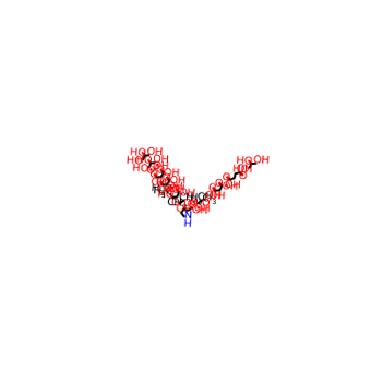 CC(=O)C(=O)O.CC(=O)C(=O)O.CC(O)CC(=O)O.CO.CO.CO.O=C(O)C1CCCN1.O=C(O)CC(=O)O.O=C(O)CC(=O)O.O=C(O)CC(=O)O.O=C(O)CCC(=O)O.O=CO.OCC(O)CO.OCC(O)CO.OCC(O)CO